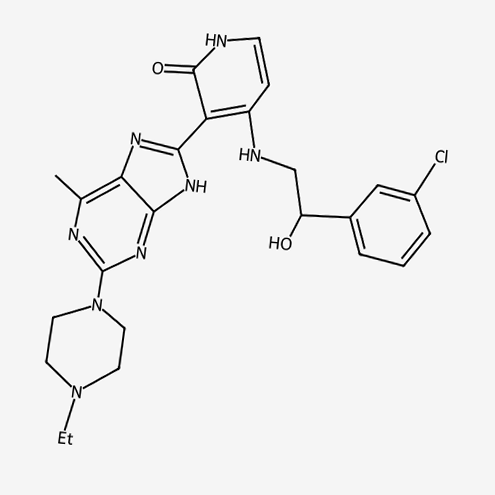 CCN1CCN(c2nc(C)c3nc(-c4c(NCC(O)c5cccc(Cl)c5)cc[nH]c4=O)[nH]c3n2)CC1